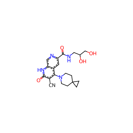 N#Cc1c(N2CCC3(CC2)CC3)c2cc(C(=O)NCC(O)CO)ncc2[nH]c1=O